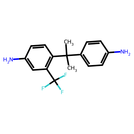 CC(C)(c1ccc(N)cc1)c1ccc(N)cc1C(F)(F)F